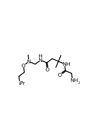 CC(C)CCON(C)CNC(=O)CC(C)(C)NC(=O)CN